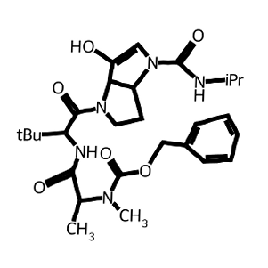 CC(C)NC(=O)N1C=C(O)C2C1CCN2C(=O)C(NC(=O)C(C)N(C)C(=O)OCc1ccccc1)C(C)(C)C